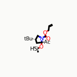 C=CCOC(=O)N1C[C@@H](C(C)(C)C)C[C@]1(O[SiH](C)C)C(C)=O